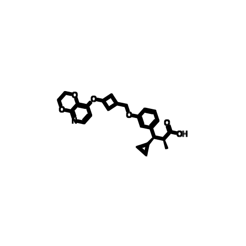 C[C@H](C(=O)O)[C@H](c1cccc(OCC2CC(Oc3ccnc4c3OCCO4)C2)c1)C1CC1